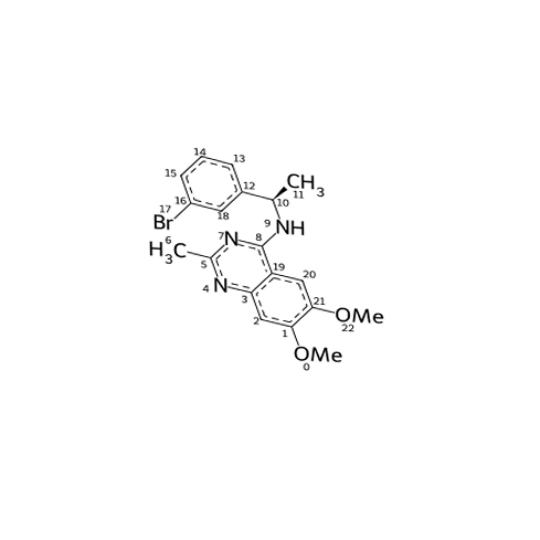 COc1cc2nc(C)nc(N[C@H](C)c3cccc(Br)c3)c2cc1OC